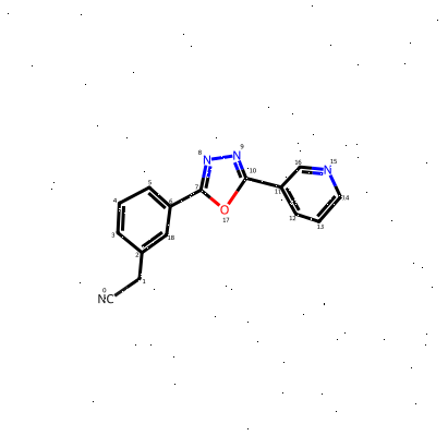 N#CCc1cccc(-c2nnc(-c3cccnc3)o2)c1